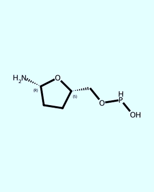 N[C@H]1CC[C@@H](COPO)O1